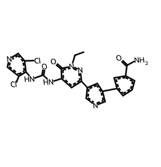 CCn1nc(-c2cncc(-c3cccc(C(N)=O)c3)c2)cc(NC(=O)Nc2c(Cl)cncc2Cl)c1=O